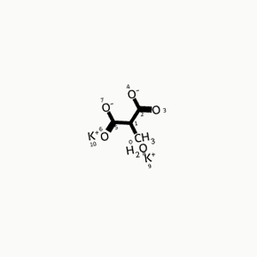 CC(C(=O)[O-])C(=O)[O-].O.[K+].[K+]